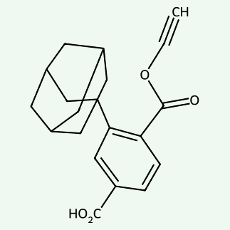 C#COC(=O)c1ccc(C(=O)O)cc1C12CC3CC(CC(C3)C1)C2